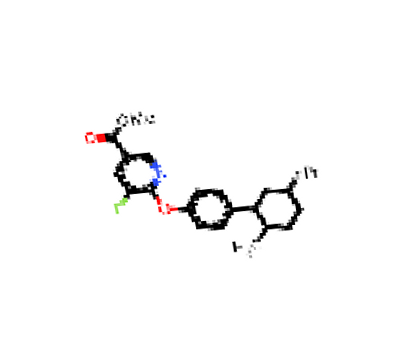 CCCC1CCC(C)C(c2ccc(Oc3ncc(C(=O)OC)cc3F)cc2)C1